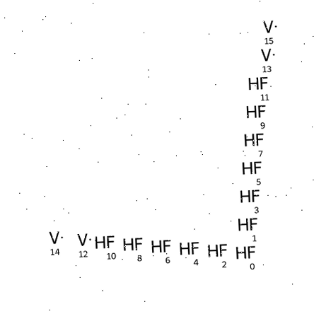 F.F.F.F.F.F.F.F.F.F.F.F.[V].[V].[V].[V]